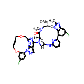 CO[C@H]1CN(C)C(=O)[C@@H]2C[C@@H](CN2c2nc3nc4c2cnn4-c2ccc(F)cc2OC/C=C/COC3)Nc2cccc(n2)-c2cc(F)cc3nc(C)n(c23)C1